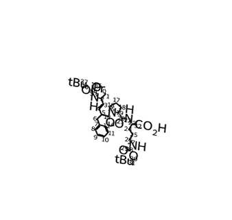 CC(C)CC(/C=C/C(Cc1ccccc1)C(=O)N1CCC[C@H]1C(=O)NC(CCCNC(=O)OC(C)(C)C)C(=O)O)NC(=O)OC(C)(C)C